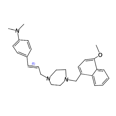 COc1ccc(CN2CCN(C/C=C/c3ccc(N(C)C)cc3)CC2)c2ccccc12